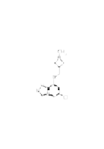 CN1CC(COc2cc(Cl)cn3cnnc23)C1